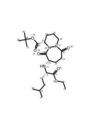 CCOC(=O)[C@H](CCC(C)C)N[C@H]1CCC(=O)N2CCC[C@@H](C(=O)OC(C)(C)C)N2C1=O